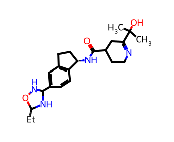 CCC1NC(c2ccc3c(c2)CC[C@H]3NC(=O)C2CCN=C(C(C)(C)O)C2)NO1